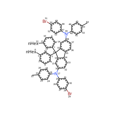 CCCCCCc1cccc(C2(c3cccc(CCCCCC)c3)c3cc(N(c4ccc(C)cc4)c4ccc(Br)cc4)ccc3-c3ccc(N(c4ccc(C)cc4)c4ccc(Br)cc4)cc32)c1